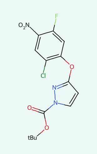 CC(C)(C)OC(=O)n1ccc(Oc2cc(F)c([N+](=O)[O-])cc2Cl)n1